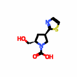 O=C(O)N1C[C@H](c2nccs2)C[C@H]1CO